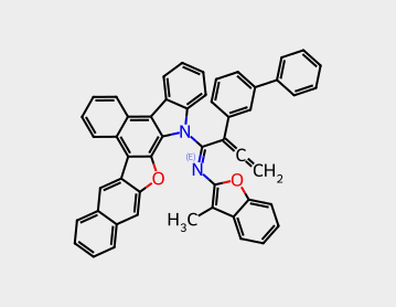 C=C=C(/C(=N\c1oc2ccccc2c1C)n1c2ccccc2c2c3ccccc3c3c4cc5ccccc5cc4oc3c21)c1cccc(-c2ccccc2)c1